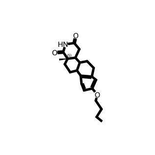 CCCCOc1ccc2c(c1)CCC1C2CC[C@]2(C)C(=O)NC(=O)CC12